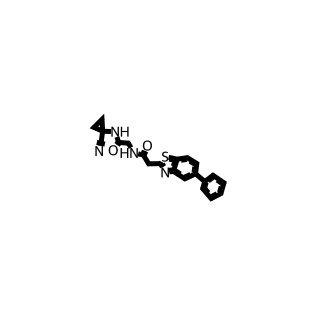 N#CC1(NC(=O)CNC(=O)Cc2nc3cc(-c4ccccc4)ccc3s2)CC1